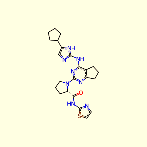 O=C(Nc1nccs1)[C@@H]1CCCN1c1nc2c(c(Nc3ncc(C4CCCC4)[nH]3)n1)CCC2